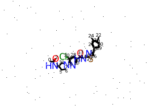 CC(=O)NC1CCN(c2ncc(C(=O)Nc3nc(-c4ccc(C)c(C)c4)cs3)cc2Cl)C1